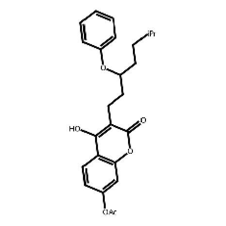 CC(=O)Oc1ccc2c(O)c(CCC(CCC(C)C)Oc3ccccc3)c(=O)oc2c1